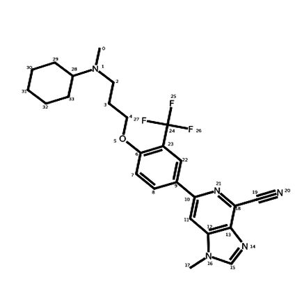 CN(CCCOc1ccc(-c2cc3c(ncn3C)c(C#N)n2)cc1C(F)(F)F)C1CCCCC1